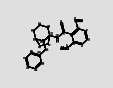 CNc1cccc(OC)c1C(=O)NC12CCCC(CC1)N2Cc1ccccc1